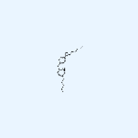 CCCCCCOc1ccc(C(C)c2ccc(CCCCC)cn2)cc1